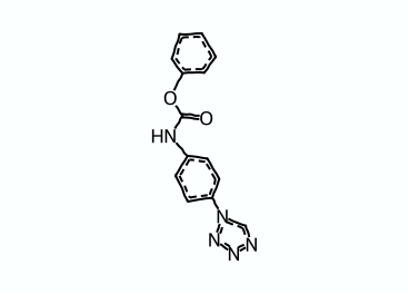 O=C(Nc1ccc(-n2cnnn2)cc1)Oc1ccccc1